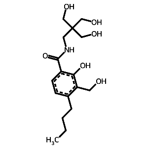 CCCCc1ccc(C(=O)NCC(CO)(CO)CO)c(O)c1CO